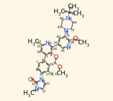 COCOc1c(-c2ccc(-n3ccn(C)c3=O)c(F)c2)cc(C)nc1-c1cnc(OC)c(N2CCN(C(C)(C)C)CC2)c1